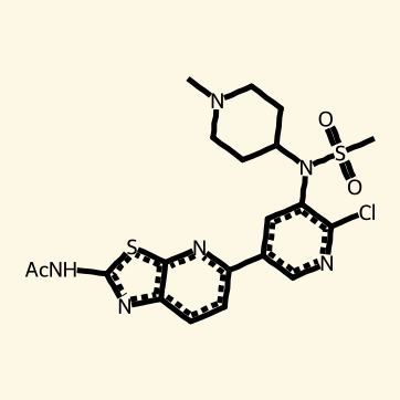 CC(=O)Nc1nc2ccc(-c3cnc(Cl)c(N(C4CCN(C)CC4)S(C)(=O)=O)c3)nc2s1